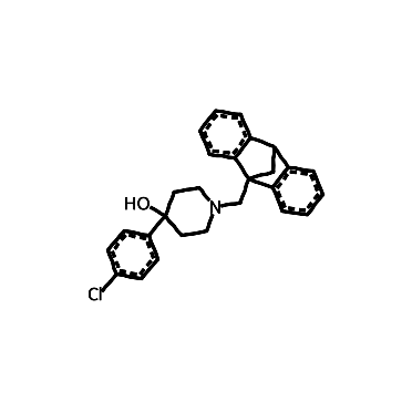 OC1(c2ccc(Cl)cc2)CCN(CC23CC(c4ccccc42)c2ccccc23)CC1